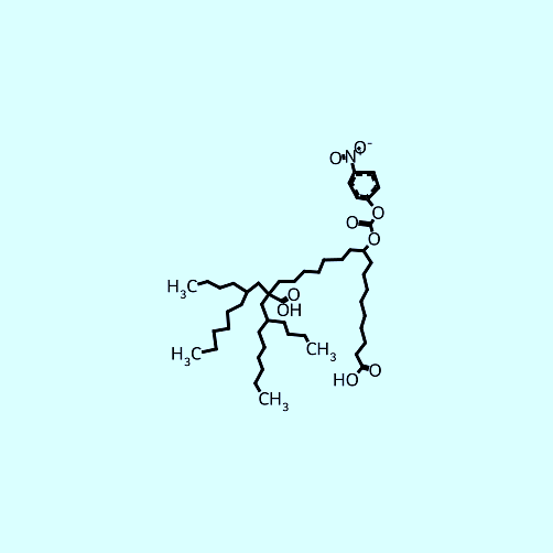 CCCCCCC(CCCC)CC(CCCCCCCC(CCCCCCCCC(=O)O)OC(=O)Oc1ccc([N+](=O)[O-])cc1)(CC(CCCC)CCCCCC)C(=O)O